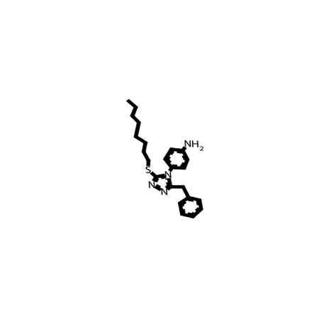 CCCCCCCCSc1nnc(Cc2ccccc2)n1-c1ccc(N)cc1